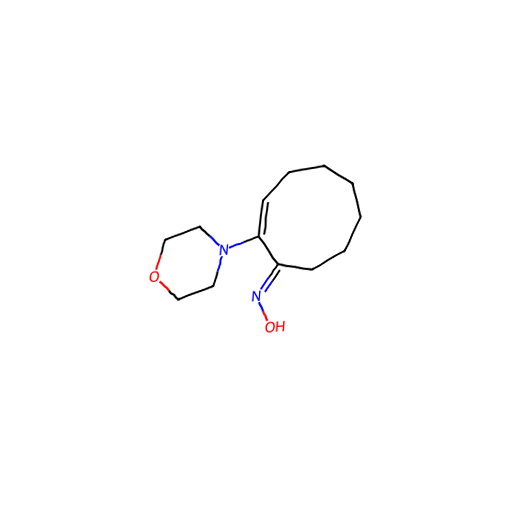 ON=C1CCCCCCC=C1N1CCOCC1